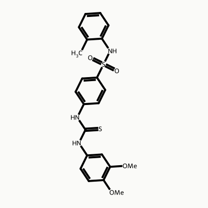 COc1ccc(NC(=S)Nc2ccc(S(=O)(=O)Nc3ccccc3C)cc2)cc1OC